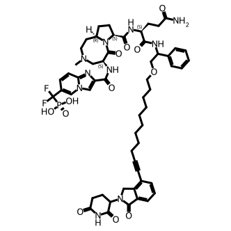 CN1CC[C@H]2CC[C@@H](C(=O)N[C@@H](CCC(N)=O)C(=O)NC(COCCCCCCCCCC#Cc3cccc4c3CN(C3CCC(=O)NC3=O)C4=O)c3ccccc3)N2C(=O)[C@@H](NC(=O)c2cn3cc(C(F)(F)P(=O)(O)O)ccc3n2)C1